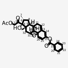 CC(=O)OCC(=O)[C@@]1(O)[C@H](C)C[C@H]2[C@@H]3CC=C4C=C(OC(=O)c5ccccc5)C=C[C@]4(C)[C@]34O[C@H]4C[C@@]21C